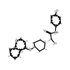 CCC(C(=O)Nc1ccc(Cl)cc1)[C@H]1CC[C@H](Oc2ccnc3ccccc23)CC1